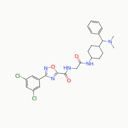 CN(C)C(c1ccccc1)C1CCC(NC(=O)CNC(=O)c2nc(-c3cc(Cl)cc(Cl)c3)no2)CC1